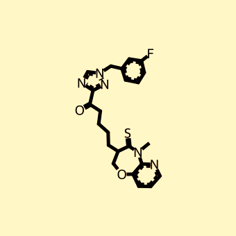 CN1C(=S)C(CCCCC(=O)c2ncn(Cc3cccc(F)c3)n2)COc2cccnc21